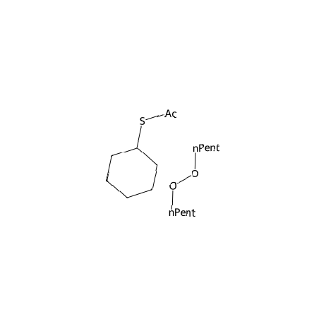 CC(=O)SC1CCCCC1.CCCCCOOCCCCC